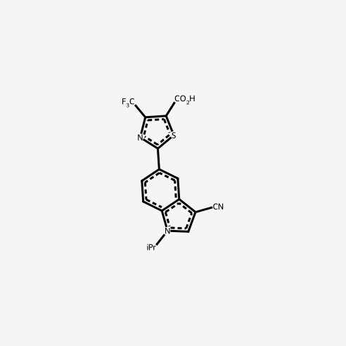 CC(C)n1cc(C#N)c2cc(-c3nc(C(F)(F)F)c(C(=O)O)s3)ccc21